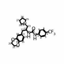 O=C(Nc1ccc(C(F)(F)F)cc1)NC(Cc1ccc2c(c1)OCCO2)CN1CCCC1